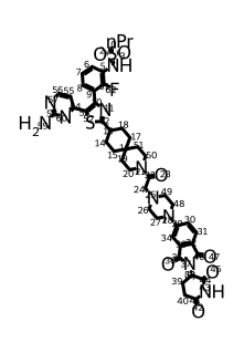 CCCS(=O)(=O)Nc1cccc(-c2nc(C3CCC4(CC3)CCN(C(=O)CN3CCN(c5ccc6c(c5)C(=O)N([C@@H]5CCC(=O)NC5=O)C6=O)CC3)CC4)sc2-c2ccnc(N)n2)c1F